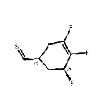 FC1=C(F)[C@@H](F)C[C@@H](C=S)C1